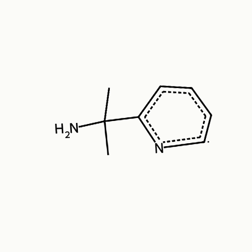 CC(C)(N)c1ccc[c]n1